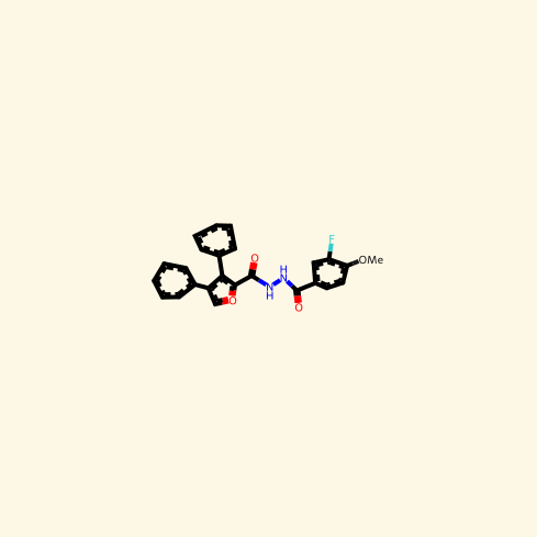 COc1ccc(C(=O)NNC(=O)c2occ(-c3ccccc3)c2-c2ccccc2)cc1F